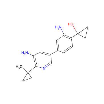 CC1(c2ncc(-c3ccc(C4(O)CC4)c(N)c3)cc2N)CC1